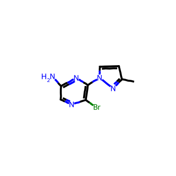 Cc1ccn(-c2nc(N)cnc2Br)n1